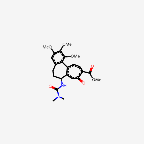 COC(=O)c1ccc2c(cc1=O)[C@@H](NC(=O)N(C)C)CCc1cc(OC)c(OC)c(OC)c1-2